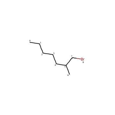 CCCCCC(C)[CH]Br